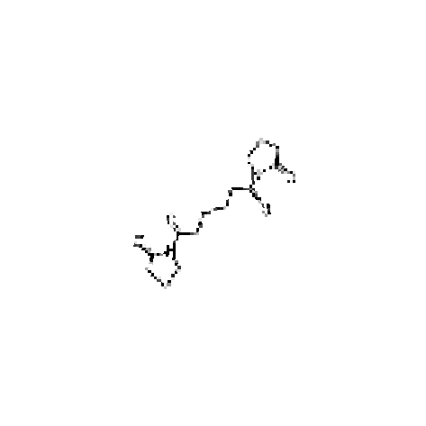 O=C(CCCCC(=O)N1CCCC1=O)N1CCCC1=O